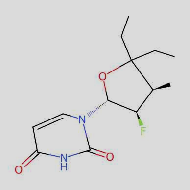 CCC1(CC)O[C@@H](n2ccc(=O)[nH]c2=O)[C@H](F)[C@@H]1C